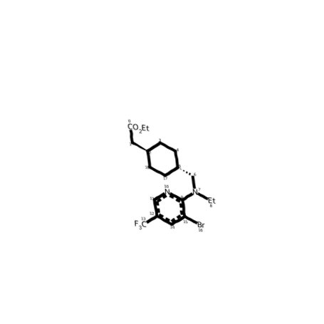 CCOC(=O)C[C@H]1CC[C@H](CN(CC)c2ncc(C(F)(F)F)cc2Br)CC1